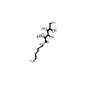 NCCCCCNC(=O)C(O)C(O)C(O)C(O)CO